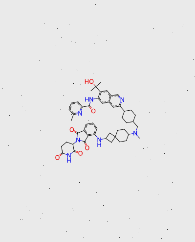 Cc1cccc(C(=O)Nc2cc3cc(C4CCC(CN(C)C5CCC6(CC5)CC(Nc5cccc7c5C(=O)N(C5CCC(=O)NC5=O)C7=O)C6)CC4)ncc3cc2C(C)(C)O)n1